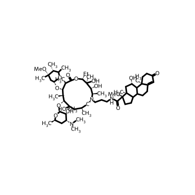 CC[C@H]1OC(=O)[C@H](C)[C@@H](O[C@@H]2C[C@](C)(OC)[C@H](C)C(C)O2)[C@H](C)[C@@H](O[C@@H]2O[C@H](C)C[C@@H](N(C)C)[C@H]2O)[C@](C)(O)C[C@@H](C)CN(CCCNC(=O)[C@@]2(OC)CCC3C4CCC5=CC(=O)CC[C@]5(C)C4[C@@H](O)C[C@@]32C)[C@H](C)[C@@H](O)[C@]1(C)O